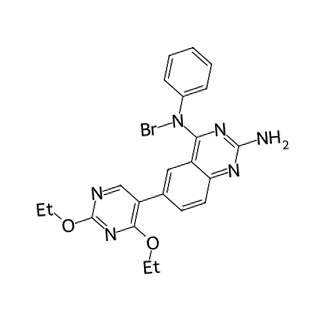 CCOc1ncc(-c2ccc3nc(N)nc(N(Br)c4ccccc4)c3c2)c(OCC)n1